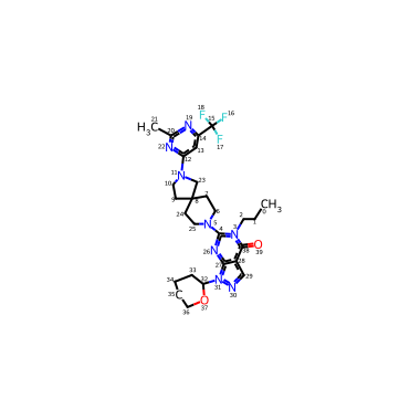 CCCn1c(N2CCC3(CCN(c4cc(C(F)(F)F)nc(C)n4)C3)CC2)nc2c(cnn2C2CCCCO2)c1=O